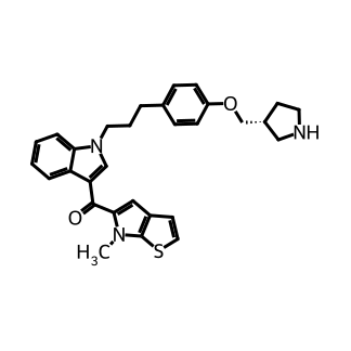 Cn1c(C(=O)c2cn(CCCc3ccc(OC[C@@H]4CCNC4)cc3)c3ccccc23)cc2ccsc21